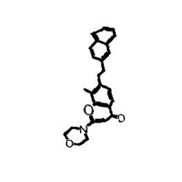 Cc1c(CCc2ccc3ccccc3c2)ccc2c(=O)cc(N3CCOCC3)oc12